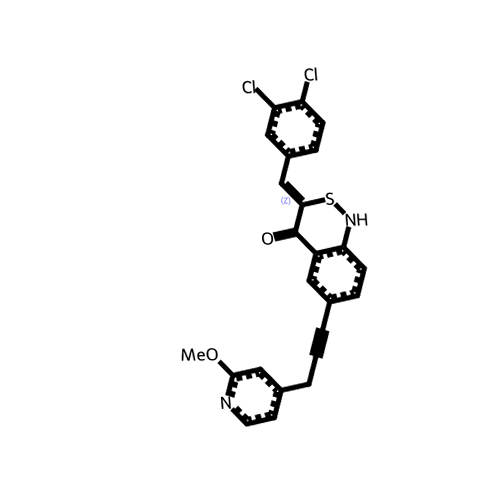 COc1cc(CC#Cc2ccc3c(c2)C(=O)/C(=C/c2ccc(Cl)c(Cl)c2)SN3)ccn1